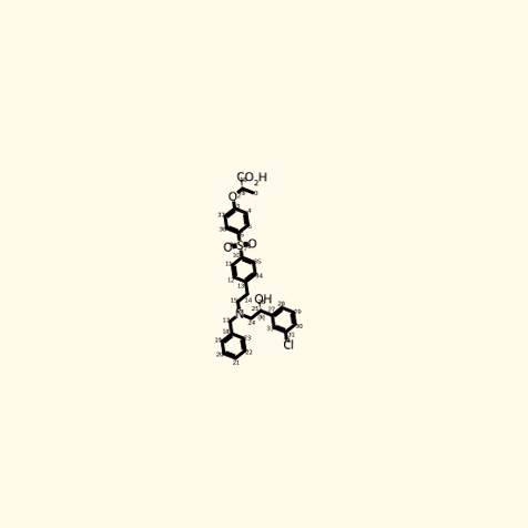 C[C@H](Oc1ccc(S(=O)(=O)c2ccc(CCN(Cc3ccccc3)C[C@H](O)c3cccc(Cl)c3)cc2)cc1)C(=O)O